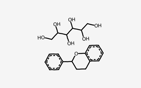 OCC(O)C(O)C(O)C(O)CO.c1ccc(C2CCc3ccccc3O2)cc1